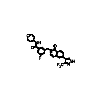 O=C(NC1CCOCC1)c1cc(F)cc(Cn2ccc3cc(-c4c[nH]nc4C(F)(F)F)ccc3c2=O)c1